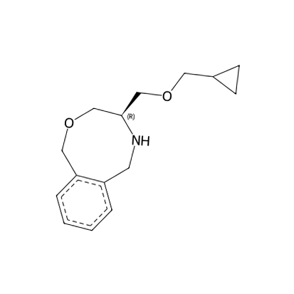 c1ccc2c(c1)CN[C@H](COCC1CC1)COC2